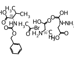 CC(=O)Br.CC(C)[C@H](NC(=O)OCc1ccccc1)C(=O)O.C[C@H](N)C(=O)O.NN(CC(=O)O)C(=O)O